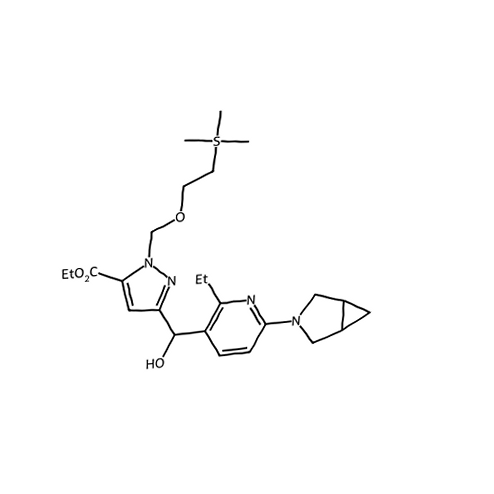 CCOC(=O)c1cc(C(O)c2ccc(N3CC4CC4C3)nc2CC)nn1COCCS(C)(C)C